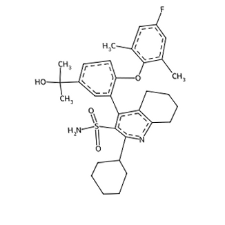 Cc1cc(F)cc(C)c1Oc1ccc(C(C)(C)O)cc1-c1c2c(nc(C3CCCCC3)c1S(N)(=O)=O)CCCC2